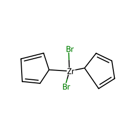 [Br][Zr]([Br])([CH]1C=CC=C1)[CH]1C=CC=C1